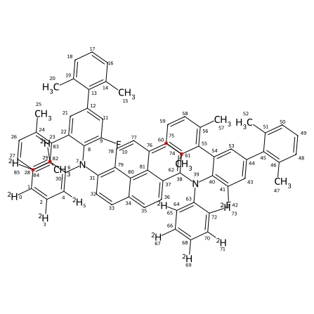 [2H]c1c([2H])c([2H])c(N(c2c(F)cc(-c3c(C)cccc3C)cc2-c2c(C)cccc2C)c2ccc3ccc4c(N(c5c(F)cc(-c6c(C)cccc6C)cc5-c5c(C)cccc5C)c5c([2H])c([2H])c([2H])c([2H])c5[2H])ccc5ccc2c3c54)c([2H])c1[2H]